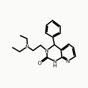 CCN(CC)CCN1C(=O)Nc2ncccc2C1c1ccccc1